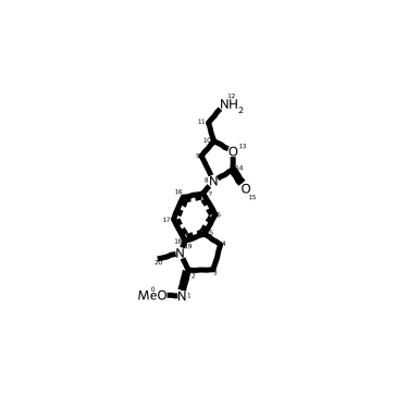 CON=C1CCc2cc(N3CC(CN)OC3=O)ccc2N1C